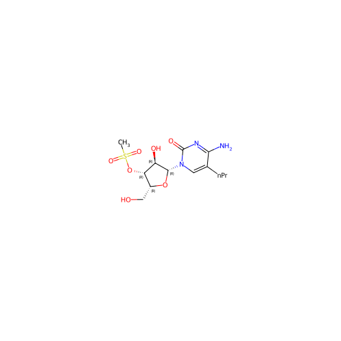 CCCc1cn([C@@H]2O[C@H](CO)[C@H](OS(C)(=O)=O)[C@H]2O)c(=O)nc1N